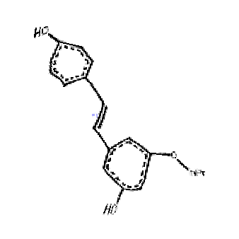 CCCOc1cc(O)cc(/C=C/c2ccc(O)cc2)c1